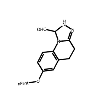 CCCCCOc1ccc2c(c1)CCC1=NNC(C=O)N12